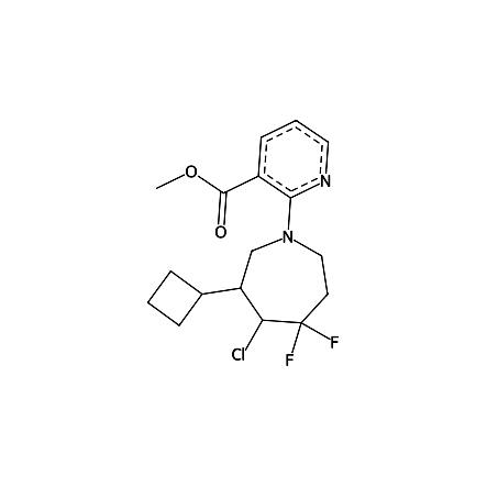 COC(=O)c1cccnc1N1CCC(F)(F)C(Cl)C(C2CCC2)C1